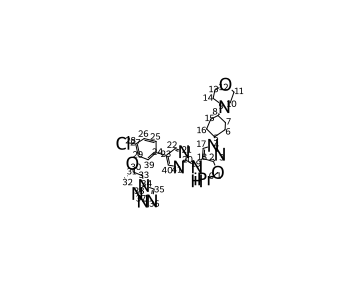 CC(C)Oc1nn([C@H]2CC[C@H](N3CCOCC3)CC2)cc1Nc1ncc(-c2ccc(Cl)c(O[C@@H](C)Cn3cnnn3)c2)cn1